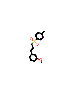 COc1cccc(C=CCS(=O)(=O)c2ccc(C)cc2)c1